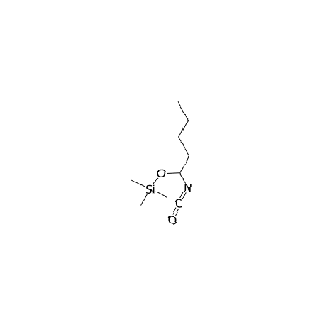 CCCCC(N=C=O)O[Si](C)(C)C